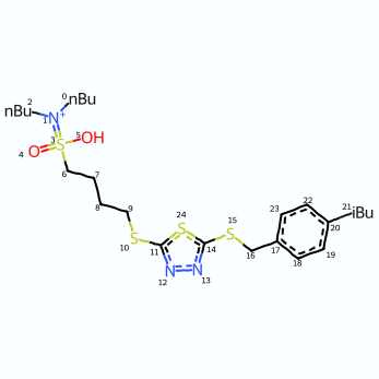 CCCC[N+](CCCC)=S(=O)(O)CCCCSc1nnc(SCc2ccc(C(C)CC)cc2)s1